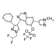 Cn1cc(-c2cc3ncnc(-c4cn(CC(F)F)nc4-c4ccccc4)c3cc2OS(=O)(=O)C(F)(F)F)cn1